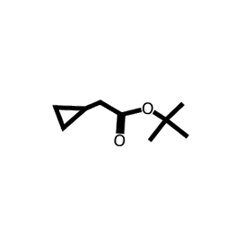 CC(C)(C)OC(=O)CC1CC1